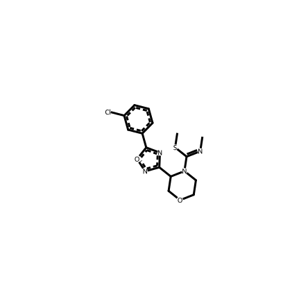 C/N=C(\SC)N1CCOCC1c1noc(-c2cccc(Cl)c2)n1